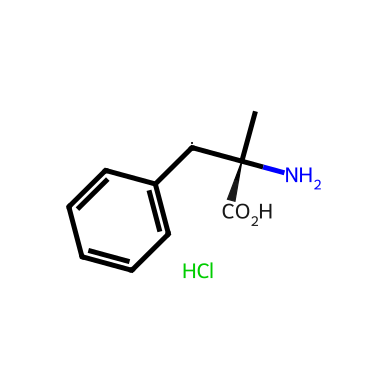 C[C@](N)([CH]c1ccccc1)C(=O)O.Cl